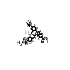 Cc1cc(-n2ccnc2)ccc1-c1cc2sc(C(=O)O)cc2n1CCc1ccc(S(C)(=O)=O)cc1